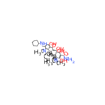 CC(C)N(C)c1c(CNC2CCCCC2)cc(O)c2c1C[C@H]1C[C@H]3[C@H](N(C)C)C(O)=C(C(N)=O)C(=O)[C@@]3(O)C(O)=C1C2=O